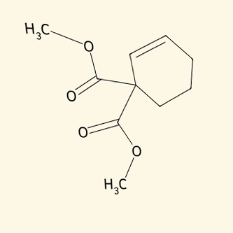 COC(=O)C1(C(=O)OC)C=CCCC1